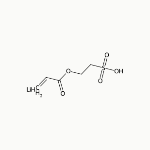 C=CC(=O)OCCS(=O)(=O)O.[LiH]